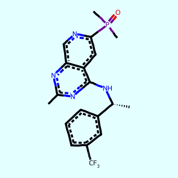 Cc1nc(N[C@H](C)c2cccc(C(F)(F)F)c2)c2cc(P(C)(C)=O)ncc2n1